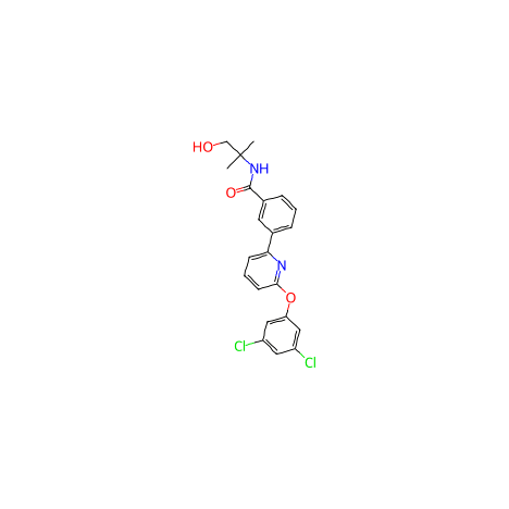 CC(C)(CO)NC(=O)c1cccc(-c2cccc(Oc3cc(Cl)cc(Cl)c3)n2)c1